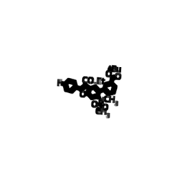 CCOC(=O)c1c(-c2ccc(F)cc2)oc2cc(N(C)S(C)(=O)=O)c(-c3cccc(C(=O)OC(C)(C)C)c3)cc12